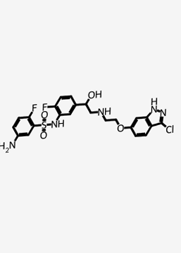 Nc1ccc(F)c(S(=O)(=O)Nc2cc(C(O)CNCCOc3ccc4c(Cl)n[nH]c4c3)ccc2F)c1